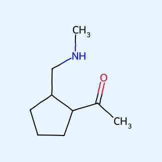 CNCC1CCCC1C(C)=O